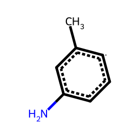 Cc1[c]ccc(N)c1